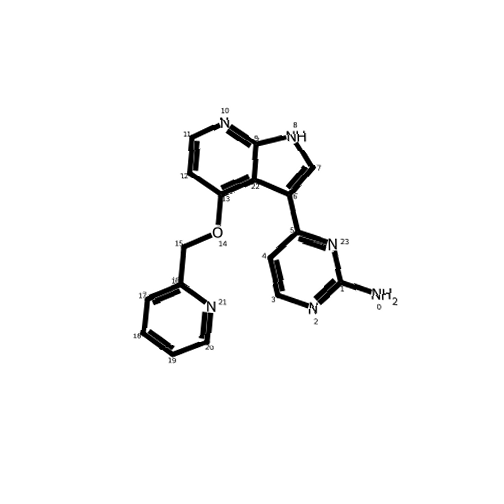 Nc1nccc(-c2c[nH]c3nccc(OCc4ccccn4)c23)n1